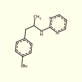 CC(Cc1ccc(C(C)(C)C)cc1)Nc1ncccn1